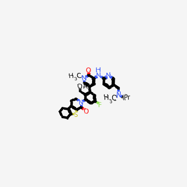 CC(=O)OCc1c(-c2cc(Nc3ccc(CN(C)C(C)C)cn3)c(=O)n(C)c2)cc(F)cc1N1CCc2c(sc3c2CCCC3)C1=O